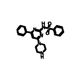 O=S(=O)(Nc1nc(-c2ccccc2)cc(N2CCNCC2)n1)c1ccccc1